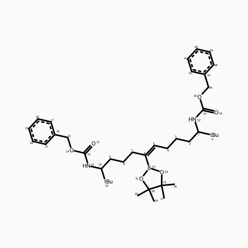 CC(C)(C)C(CCC/C=C(/CCCC(NC(=O)OCc1ccccc1)C(C)(C)C)B1OC(C)(C)C(C)(C)O1)NC(=O)OCc1ccccc1